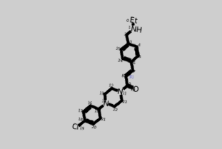 CCNCc1ccc(/C=C/C(=O)N2CCN(C3C=CC(Cl)=CC3)CC2)cc1